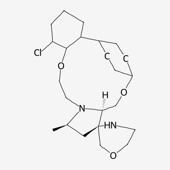 C[C@@H]1C[C@@]2(COCCN2)[C@@H]2COC3CCC(CC3)C3CCCC(Cl)C3OCCN12